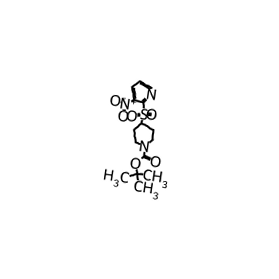 CC(C)(C)OC(=O)N1CCC(S(=O)(=O)c2ncccc2[N+](=O)[O-])CC1